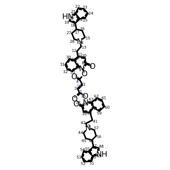 O=C(/C=C/C(=O)On1c(=O)cc(CCN2CCC(c3c[nH]c4ccccc34)CC2)c2ccccc21)On1c(=O)cc(CCN2CCC(c3c[nH]c4ccccc34)CC2)c2ccccc21